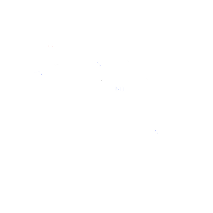 CCOc1ccc2[nH]c(=O)c(CN(Cc3ccc4c(c3)OCO4)C(=S)NCCCN(CC)CC)cc2c1